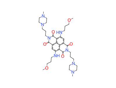 COCCCNc1cc2c3c(c(NCCCOC)cc4c3c1C(=O)N(CCCN1CCN(C)CC1)C4=O)C(=O)N(CCCN1CCN(C)CC1)C2=O